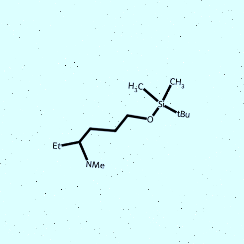 CCC(CCCO[Si](C)(C)C(C)(C)C)NC